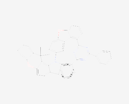 CC1(C)c2ccccc2Oc2ccc3c4ccccc4n(-c4ccc5oc6cccc(-c7nc(-c8ccccc8)nc(-c8ccccc8)n7)c6c5c4)c3c21